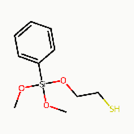 CO[Si](OC)(OCCS)c1ccccc1